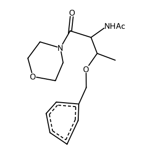 CC(=O)NC(C(=O)N1CCOCC1)C(C)OCc1ccccc1